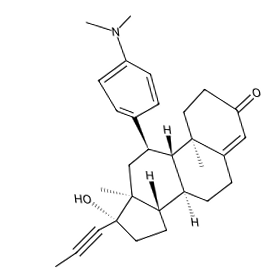 CC#C[C@]1(O)CC[C@H]2[C@@H]3CCC4=CC(=O)CC[C@]4(C)[C@H]3[C@H](c3ccc(N(C)C)cc3)C[C@@]21C